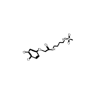 CS(=O)(=O)NCCCCNC(=O)COc1ccc(Cl)c(Cl)c1